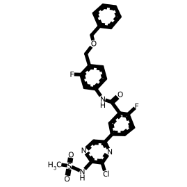 CS(=O)(=O)Nc1ncc(-c2ccc(F)c(C(=O)Nc3ccc(COCc4ccccc4)c(F)c3)c2)nc1Cl